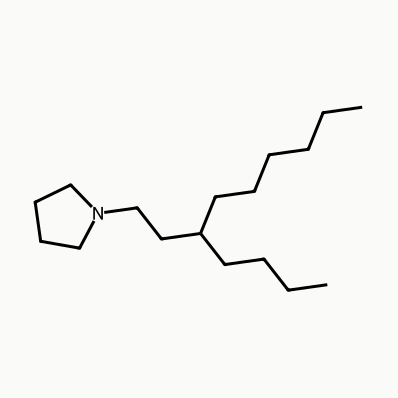 CCCCCCC(CCCC)CCN1CCCC1